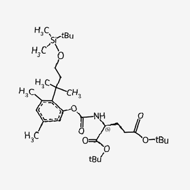 Cc1cc(C)c(C(C)(C)CCO[Si](C)(C)C(C)(C)C)c(OC(=O)N[C@@H](CCC(=O)OC(C)(C)C)C(=O)OC(C)(C)C)c1